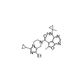 CCc1nc(C2CC2)n2c1CN(C(=O)c1c(C)oc3ncnc(NC4(C)CC4)c13)CC2